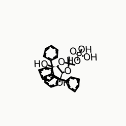 CC1(C)O[C@@H](C(O)(c2ccccc2)c2ccccc2)[C@H](C(O)(c2ccccc2)c2ccccc2)O1.O=P(O)(O)O